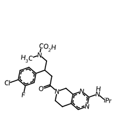 CC(C)Nc1ncc2c(n1)CN(C(=O)CC(CN(C)C(=O)O)c1ccc(Cl)c(F)c1)CC2